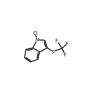 FC(F)(F)Sc1cn(Cl)c2ccccc12